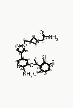 CC(Oc1cc(-c2cnn(CC3CN(CC(N)=O)C3)c2)cnc1N)c1c(Cl)ccc(F)c1Cl